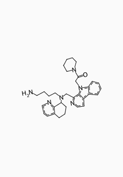 NCCCCN(Cc1nccc2c3ccccc3n(CC(=O)N3CCCCC3)c12)C1CCCc2cccnc21